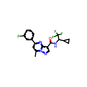 Cc1cc(-c2cccc(F)c2)nc2c(C(=O)NC(C3CC3)C(F)(F)F)cnn12